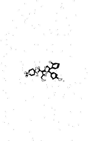 CC1(NC(=O)c2c(CO)nn3c(-c4ccc(C(F)(F)F)cc4)c(-c4ccccc4Cl)cnc23)CCS(=O)(=O)CC1